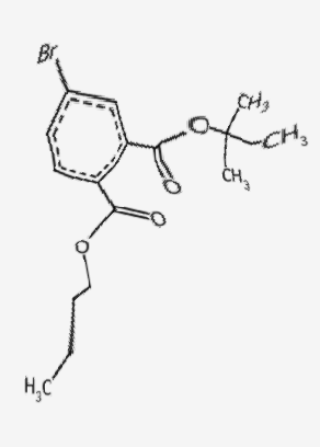 CCCCOC(=O)c1ccc(Br)cc1C(=O)OC(C)(C)C